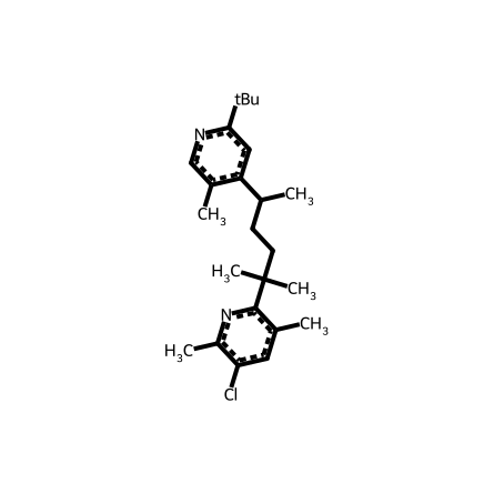 Cc1cnc(C(C)(C)C)cc1C(C)CCC(C)(C)c1nc(C)c(Cl)cc1C